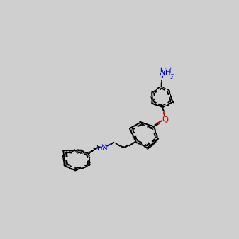 Nc1ccc(Oc2ccc(CCNCc3ccccc3)cc2)cc1